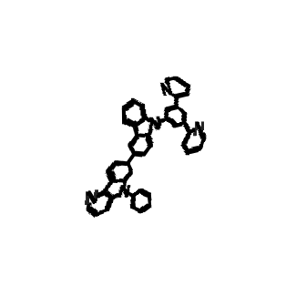 c1ccc(-n2c3cc(-c4ccc5c(c4)c4ccccc4n5-c4cc(-c5ccccn5)cc(-c5ccccn5)c4)ccc3c3ncccc32)cc1